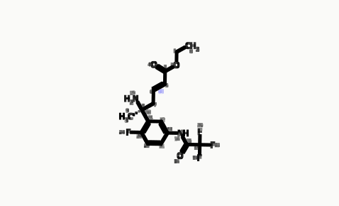 CCOC(=O)/C=C/C[C@](C)(N)c1cc(NC(=O)C(F)(F)F)ccc1F